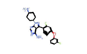 Nc1ncnc2c1c(-c1ccc(Oc3cccc(F)c3)cc1F)nn2[C@H]1CC[C@H](N)CC1